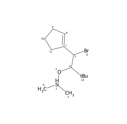 C[SiH](C)OC(C(Br)C1=CCCC1)C(C)(C)C